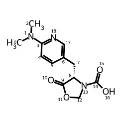 CN(C)c1ccc(C[C@H]2C(=O)OCN2C(=O)O)cn1